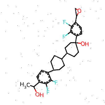 CC(O)c1ccc(C2CCC(C3CCC(O)(c4ccc(C5CO5)c(F)c4F)CC3)CC2)c(F)c1F